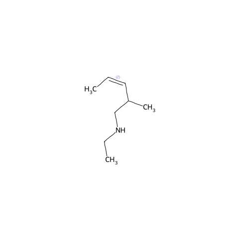 C/C=C\C(C)CNCC